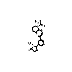 CN1C(=O)CCC1c1cncc(-c2cnc3c(c2)CCCN3C(N)=O)c1